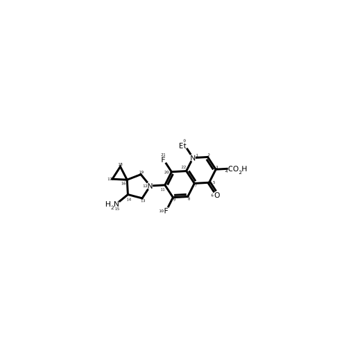 CCn1cc(C(=O)O)c(=O)c2cc(F)c(N3CC(N)C4(CC4)C3)c(F)c21